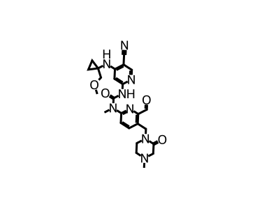 COCC1(Nc2cc(NC(=O)N(C)c3ccc(CN4CCN(C)CC4=O)c(C=O)n3)ncc2C#N)CC1